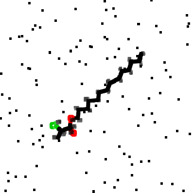 CCCCCCCCCCCCCCOC(=O)C(C)Cl